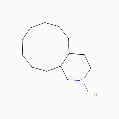 CC(C)(C)N1CCC2CCCCCCCCC2C1